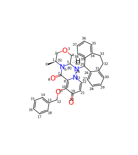 C[C@H]1COC[C@@H]2N1C(=O)c1c(OCc3ccccc3)c(=O)ccn1N2C1c2ccccc2CCc2ccccc21